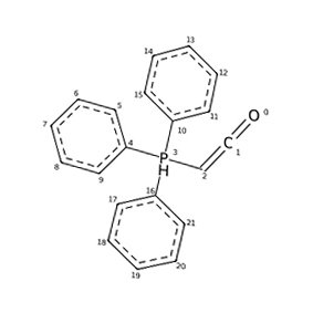 O=C=C[PH](c1ccccc1)(c1ccccc1)c1ccccc1